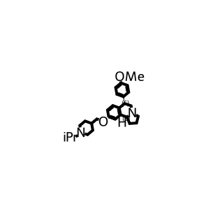 COc1ccc([C@@H]2CN3CCC[C@H]3c3cc(OCC4CCN(C(C)C)CC4)ccc32)cc1